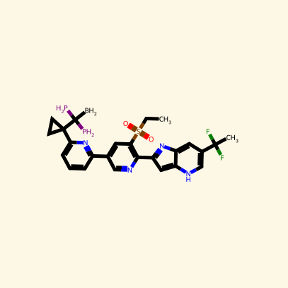 BC(P)(P)C1(c2cccc(-c3cnc(-c4cc5[nH]cc(C(C)(F)F)cc-5n4)c(S(=O)(=O)CC)c3)n2)CC1